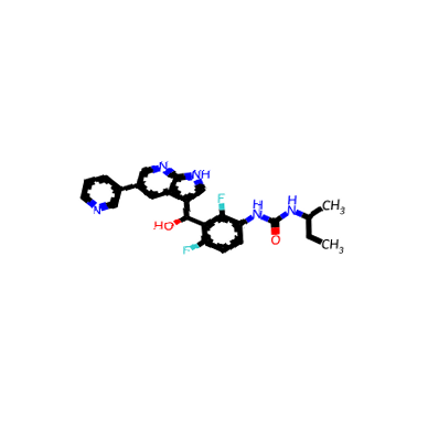 CCC(C)NC(=O)Nc1ccc(F)c(C(O)c2c[nH]c3ncc(-c4cccnc4)cc23)c1F